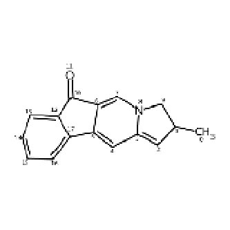 CC1C=C2C=C3C(=CN2C1)C(=O)c1ccccc13